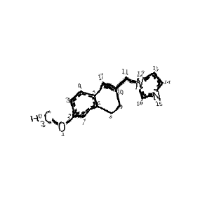 COc1ccc2c(c1)CCC(Cn1ccnc1)=C2